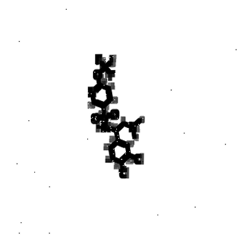 CN(C)CC(NS(=O)(=O)c1ccc(OC(F)(F)F)nc1)c1ccc(Cl)c(Cl)c1